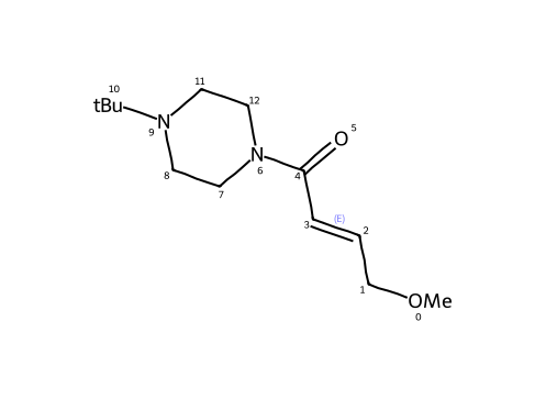 COC/C=C/C(=O)N1CCN(C(C)(C)C)CC1